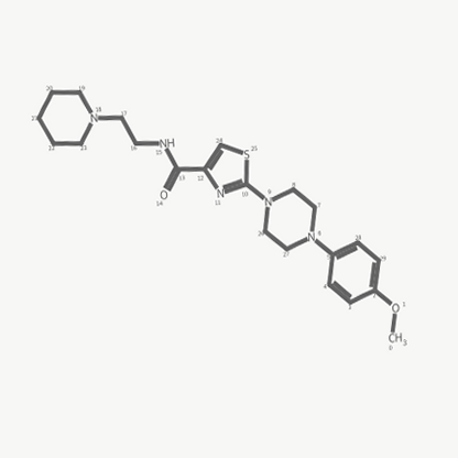 COc1ccc(N2CCN(c3nc(C(=O)NCCN4CCCCC4)cs3)CC2)cc1